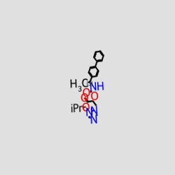 CC(C)OC(=O)C(Cn1cncn1)OC(=O)N[C@@H](C)c1ccc(-c2ccccc2)cc1